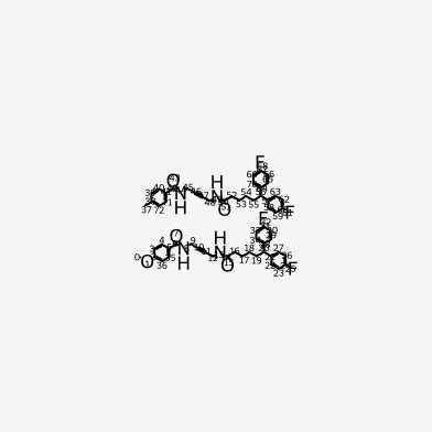 COc1ccc(C(=O)NCC#CCNC(=O)CCCCC(c2ccc(F)cc2)c2ccc(F)cc2)cc1.Cc1ccc(C(=O)NCC#CCNC(=O)CCCCC(c2ccc(F)cc2)c2ccc(F)cc2)cc1